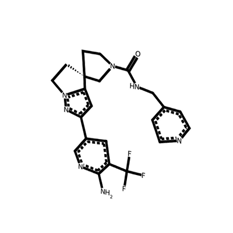 Nc1ncc(-c2cc3n(n2)CC[C@@]32CCN(C(=O)NCc3ccncc3)C2)cc1C(F)(F)F